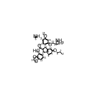 C=C.CCCOc1ccc2c(c1)[C@@H](c1ccc(OC)cc1OCCO)[C@H](C(=O)O)[C@H]2c1ccc2c(c1)OCO2.N.N